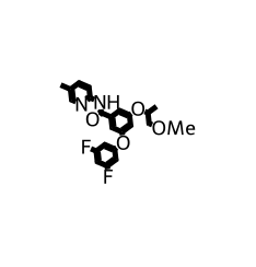 COCC(C)Oc1cc(Oc2cc(F)cc(F)c2)cc(C(=O)Nc2ccc(C)cn2)c1